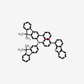 CC1(C)c2ccccc2-c2ccc(N(c3ccc(-c4cccc5c4sc4ccccc45)cc3)c3cc4c(cc3-c3ccccc3)-c3ccccc3C4(C)C)cc21